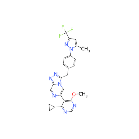 COc1ncnc(C2CC2)c1-c1cn2c(Cc3ccc(-n4nc(C(F)(F)F)cc4C)cc3)nnc2cn1